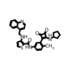 Cc1ccc(NC(=O)c2sccc2NCc2ccnc3ccccc23)cc1-c1c(NC2CCCC2)c(=O)c1=O